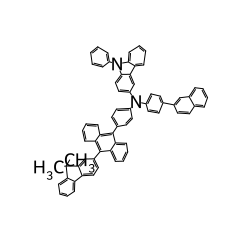 CC1(C)c2ccccc2-c2ccc(-c3c4ccccc4c(-c4ccc(N(c5ccc(-c6ccc7ccccc7c6)cc5)c5ccc6c(c5)c5ccccc5n6-c5ccccc5)cc4)c4ccccc34)cc21